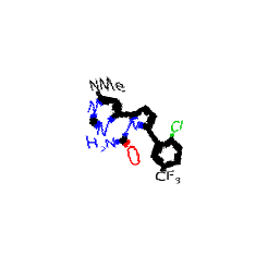 CNc1cc(-c2ccc(-c3cc(C(F)(F)F)ccc3Cl)n2C(N)=O)ncn1